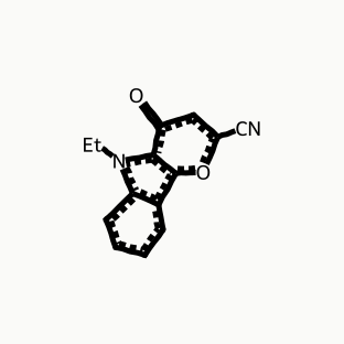 CCn1c2ccccc2c2oc(C#N)cc(=O)c21